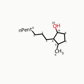 CCCCCCCCC1C(C)CCC1O